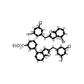 CCOC(=O)c1cccc(-c2cccc3oc(Cc4cc(F)cc(Cl)c4)cc23)c1.Fc1cc(Cl)cc(Cc2cc3c(Br)cccc3o2)c1